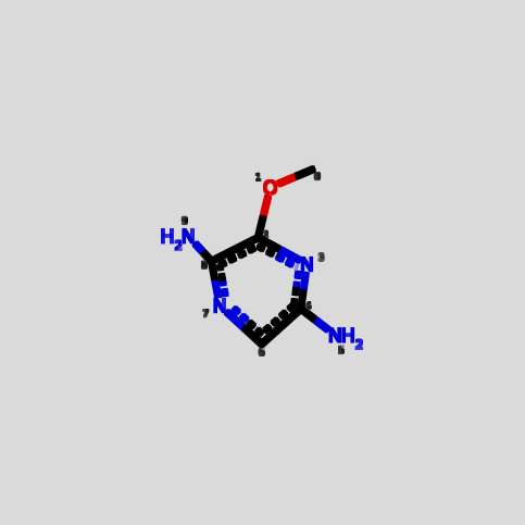 COc1nc(N)cnc1N